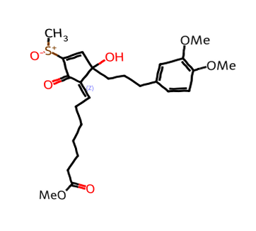 COC(=O)CCCCC/C=C1\C(=O)C([S+](C)[O-])=CC1(O)CCCc1ccc(OC)c(OC)c1